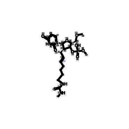 CNC(=S)NCCCC/C=C/C[C@H]1C(OP(=O)(O)OC)[C@@H](COC)O[C@H]1n1ccc(=O)[nH]c1=O